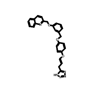 C(=C\Oc1ccc(OCc2cccc(OCc3ccc4ccccc4n3)c2)cc1)/Cc1nnn[nH]1